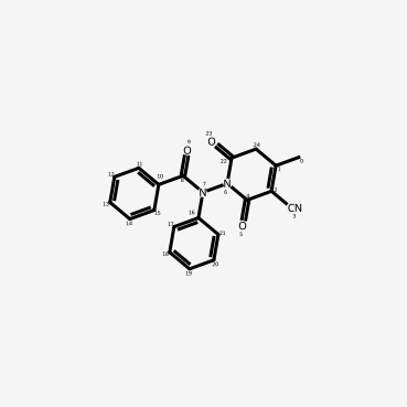 CC1=C(C#N)C(=O)N(N(C(=O)c2ccccc2)c2ccccc2)C(=O)C1